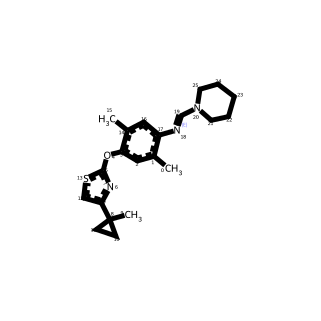 Cc1cc(Oc2nc(C3(C)CC3)cs2)c(C)cc1/N=C/N1CCCCC1